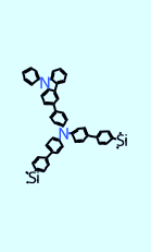 C[Si](C)(C)c1ccc(-c2ccc(N(c3ccc(-c4ccc([Si](C)(C)C)cc4)cc3)c3ccc(-c4ccc5c(c4)c4ccccc4n5-c4ccccc4)cc3)cc2)cc1